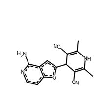 CC1=C(C#N)C(c2cc3c(N)nccc3o2)C(C#N)=C(C)N1